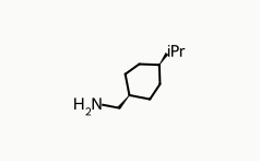 CC(C)[C@H]1CC[C@@H](CN)CC1